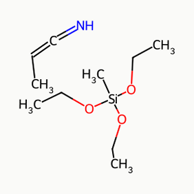 CC=C=N.CCO[Si](C)(OCC)OCC